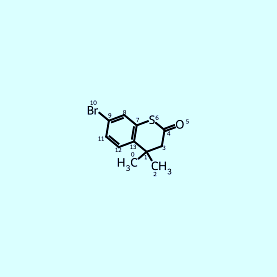 CC1(C)CC(=O)Sc2cc(Br)ccc21